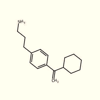 C=C(c1ccc(CCC[SiH3])cc1)C1CCCCC1